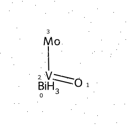 [BiH3].[O]=[V][Mo]